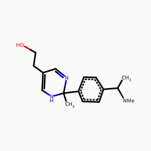 CNC(C)c1ccc(C2(C)N=CC(CCO)=CN2)cc1